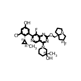 C[C@@H]1C[C@@H]1c1c(Cl)cc(O)cc1-c1ncc2c(N3CCC[C@@](C)(O)C3)nc(OC[C@@]34CCCN3C[C@H](F)C4)nc2c1F